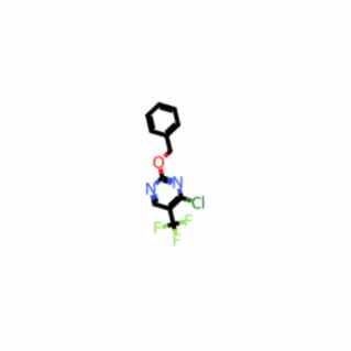 FC(F)(F)c1cnc(OCc2ccccc2)nc1Cl